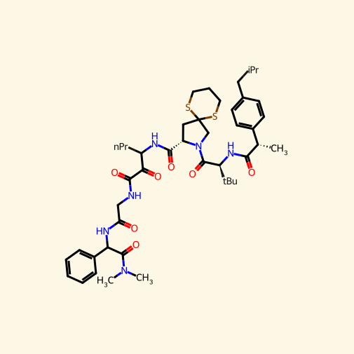 CCCC(NC(=O)[C@@H]1CC2(CN1C(=O)[C@@H](NC(=O)[C@@H](C)c1ccc(CC(C)C)cc1)C(C)(C)C)SCCCS2)C(=O)C(=O)NCC(=O)NC(C(=O)N(C)C)c1ccccc1